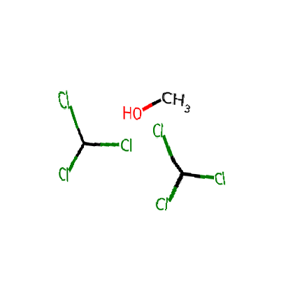 CO.ClC(Cl)Cl.ClC(Cl)Cl